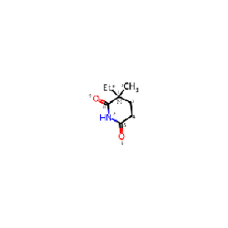 CC[C@@]1(C)CCC(=O)NC1=O